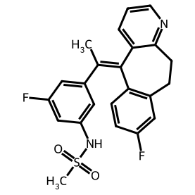 C/C(=C1/c2ccc(F)cc2CCc2ncccc21)c1cc(F)cc(NS(C)(=O)=O)c1